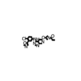 C=CC(=O)N1CC(Oc2cc3c(Nc4ccc(Cl)c(-c5cnco5)c4)ncnc3cn2)C1